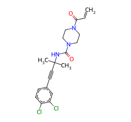 C=CC(=O)N1CCN(C(=O)NC(C)(C)C#Cc2ccc(Cl)c(Cl)c2)CC1